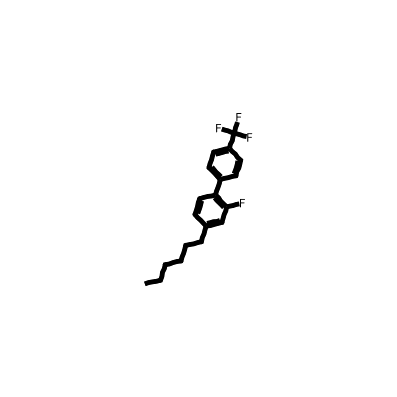 CCCCCCc1ccc(-c2ccc(C(F)(F)F)cc2)c(F)c1